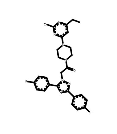 CCc1cc(N2CCN(C(=O)Cn3nc(-c4ccc(F)cc4)nc3-c3ccc(F)cc3)CC2)nc(Cl)n1